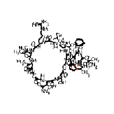 CC[C@H](C)C1NC(=O)[C@@H](CCCNC(=N)N)NC(=O)[C@H](CC(C)C)NC(=O)[C@H]([C@H](O)C(C)C)NC(=O)[C@@H](NC(=O)[C@H](CC(C)C)NC(=O)[C@H](Cc2ccccc2)NC(=O)OC(C)(C)C)[C@@H](c2ccccc2)OC(=O)[C@H](CO)NC(=O)[C@H]([C@H](O)C(N)=O)NC(=O)CNC(=O)C([C@H](C)O)NC1=O